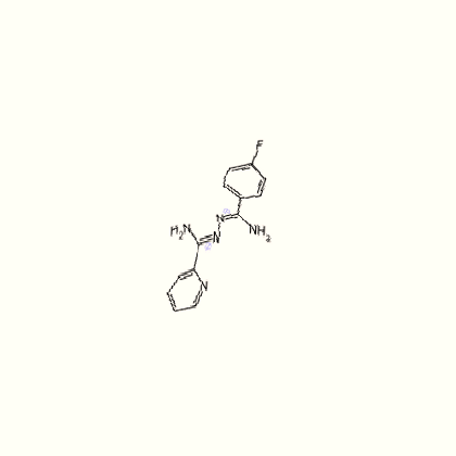 N/C(=N\N=C(/N)c1ccccn1)c1ccc(F)cc1